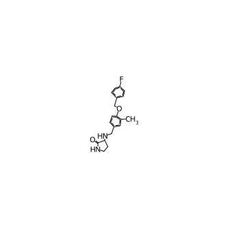 Cc1cc(CNC2CCNC2=O)ccc1OCc1ccc(F)cc1